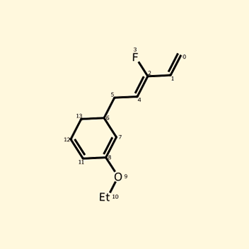 C=CC(F)=CCC1C=C(OCC)C=CC1